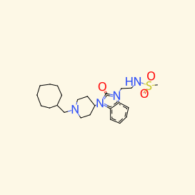 CS(=O)(=O)NCCn1c(=O)n(C2CCN(CC3CCCCCCC3)CC2)c2ccccc21